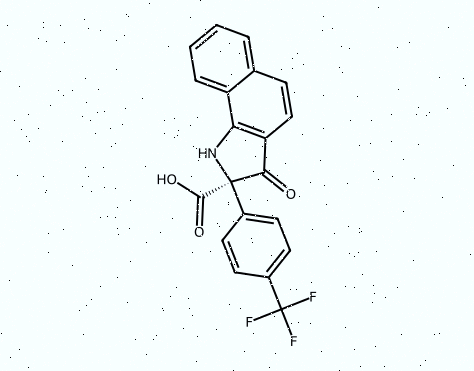 O=C(O)[C@]1(c2ccc(C(F)(F)F)cc2)Nc2c(ccc3ccccc23)C1=O